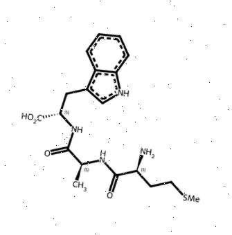 CSCC[C@H](N)C(=O)N[C@@H](C)C(=O)N[C@@H](Cc1c[nH]c2ccccc12)C(=O)O